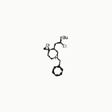 CCCCC(CC)CC1CN(Cc2ccccc2)CCC12CO2